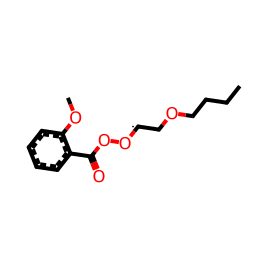 CCCCOC[CH]OOC(=O)c1ccccc1OC